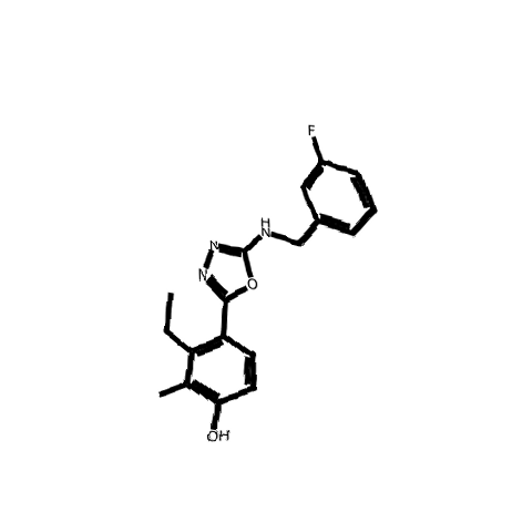 CCc1c(-c2nnc(NCc3cccc(F)c3)o2)ccc(O)c1C